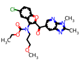 CCOC(=O)N(CCCOC)c1c(C(=O)c2cnc3c(c2)nc(C)n3C)oc2ccc(Cl)cc12